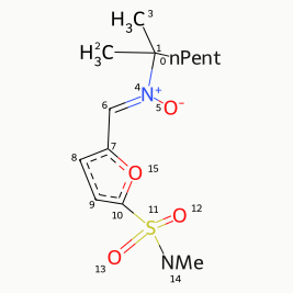 CCCCCC(C)(C)[N+]([O-])=Cc1ccc(S(=O)(=O)NC)o1